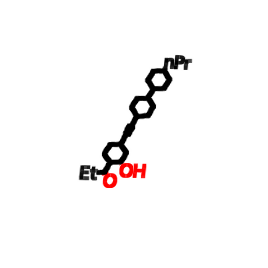 CCCC1CCC(C2CCC(C#CC3CCC(C(=O)CC)C(O)C3)CC2)CC1